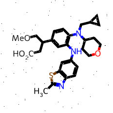 COCC(CC(=O)O)c1ccc(N(CC2CC2)C2CCOCC2)c(Nc2ccc3nc(C)sc3c2)c1